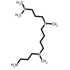 CN(C)CCCN(C)CCCCN(C)CCCN